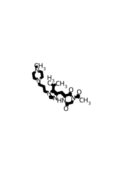 CC(=O)N1CC(=O)N/C(=C\c2ncn(CCCN3CCN(C)CC3)c2C(C)C)C1=O